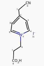 N#CCc1cc[n+](CCC(=O)O)cc1.[I-]